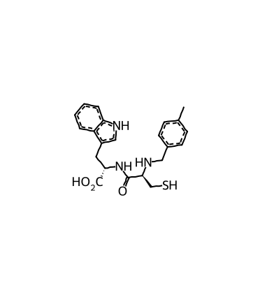 Cc1ccc(CN[C@@H](CS)C(=O)N[C@@H](Cc2c[nH]c3ccccc23)C(=O)O)cc1